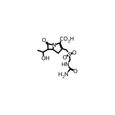 CC(O)C1C(=O)N2C(C(=O)O)=C(CS(=O)(=O)CNC(N)=O)CC12